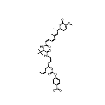 C/C=C\C[C@@H](C/C=C\NC(=O)[C@@H](NC(=O)\C=C/C=C\C(C)=C\[C@H](C)C1CC=C(OC)C(=O)O1)C(C)(C)C)OC(=O)Oc1ccc([N+](=O)[O-])cc1